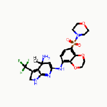 CC1(N)C=C(Nc2ccc(S(=O)(=O)N3CCOCC3)c3c2OCCO3)N=C2NCC(C(F)(F)F)=C21